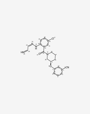 N#Cc1ccnc(O[C@@H]2CCCN(C(=O)c3cc(Cl)ccc3N/N=C\C=N)C2)c1